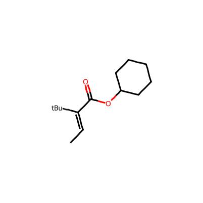 CC=C(C(=O)OC1CCCCC1)C(C)(C)C